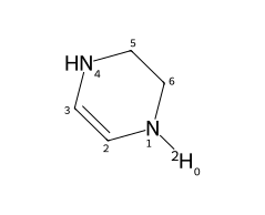 [2H]N1C=CNCC1